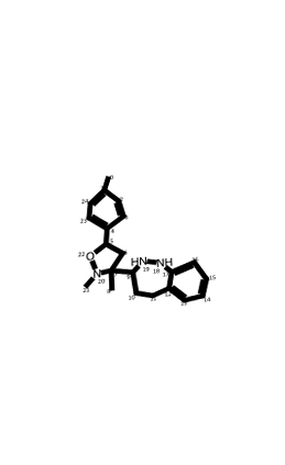 Cc1ccc(C2CC(C)(C3CCc4ccccc4NN3)N(C)O2)cc1